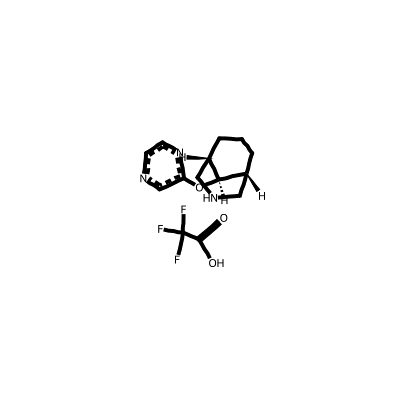 O=C(O)C(F)(F)F.c1cnc(O[C@@H]2[C@@H]3CCC[C@H]2CNC3)cn1